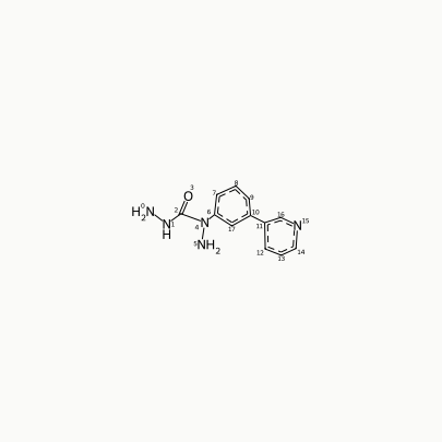 NNC(=O)N(N)c1cccc(-c2cccnc2)c1